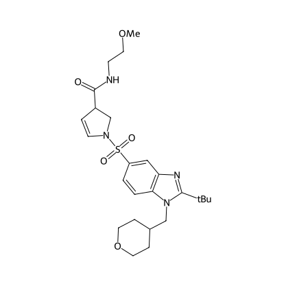 COCCNC(=O)C1C=CN(S(=O)(=O)c2ccc3c(c2)nc(C(C)(C)C)n3CC2CCOCC2)C1